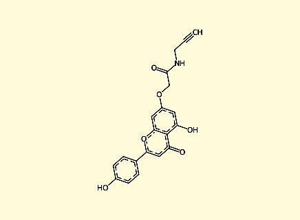 C#CCNC(=O)COc1cc(O)c2c(=O)cc(-c3ccc(O)cc3)oc2c1